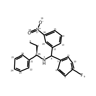 CC[C@@H](NC(c1ccc(F)cc1)c1cccc([N+](=O)[O-])c1)c1ccccc1